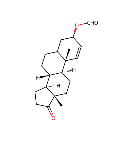 C[C@]12C=C[C@H](OC=O)CC1CC[C@@H]1[C@@H]2CC[C@]2(C)C(=O)CC[C@@H]12